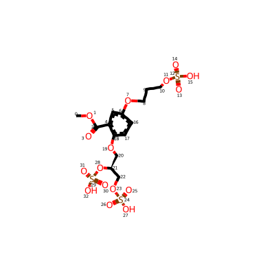 COC(=O)c1cc(OCCCOS(=O)(=O)O)ccc1OC[C@@H](COS(=O)(=O)O)OS(=O)(=O)O